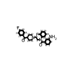 Nc1cccc(C(=O)N(CCN2CCC(C(=O)c3ccc(F)cc3)CC2)c2ccccc2F)c1